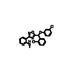 CNc1ncccc1-c1noc(C(Oc2cccc(Cl)c2)c2ccccc2Cl)n1